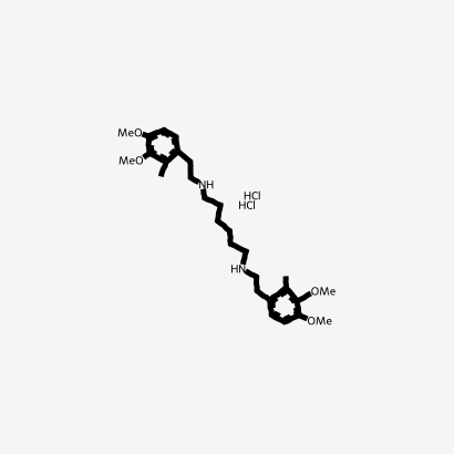 COc1ccc(CCNCCCCCCNCCc2ccc(OC)c(OC)c2C)c(C)c1OC.Cl.Cl